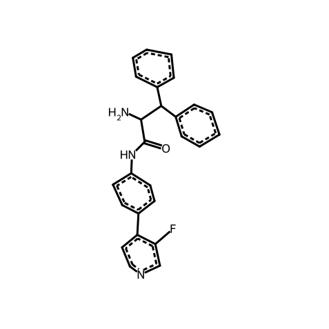 NC(C(=O)Nc1ccc(-c2ccncc2F)cc1)C(c1ccccc1)c1ccccc1